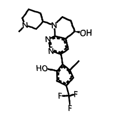 Cc1cc(C(F)(F)F)cc(O)c1-c1cc2c(nn1)N(C1CCCN(C)C1)CC[C@H]2O